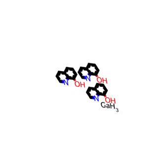 Oc1cccc2cccnc12.Oc1cccc2cccnc12.Oc1cccc2cccnc12.[GaH3]